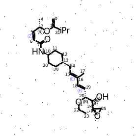 C=C(O[C@@H](C)/C=C\C(=O)N[C@H]1CC[C@@H](C/C=C(C)/C=C/[C@H]2OCC[C@@]3(CO3)[C@@H]2O)CC1)C(C)C